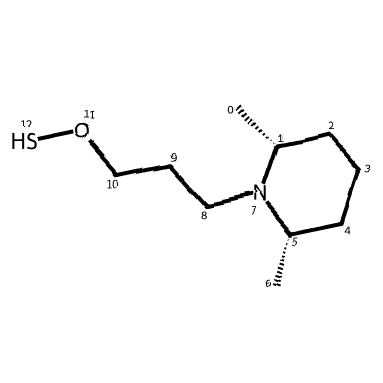 C[C@@H]1CCC[C@H](C)N1CCCOS